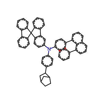 c1ccc(-c2cccc3cccc(-c4ccc(N(c5ccc(C6CC7CCC6C7)cc5)c5ccc6c(c5)-c5ccccc5C65c6ccccc6-c6ccccc65)cc4)c23)cc1